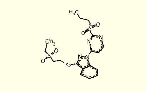 CCCS(=O)(=O)c1nccc(-n2nc(OCCS(=O)(=O)CC)c3ccccc32)n1